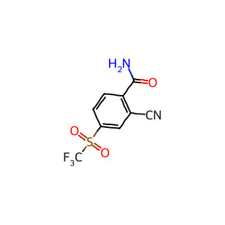 N#Cc1cc(S(=O)(=O)C(F)(F)F)ccc1C(N)=O